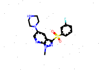 Cn1nc(S(=O)(=O)c2cccc(F)c2)c2cc(N3CCNCC3)cnc21